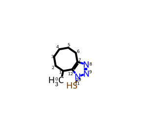 CC1CCCCCc2nnn(S)c21